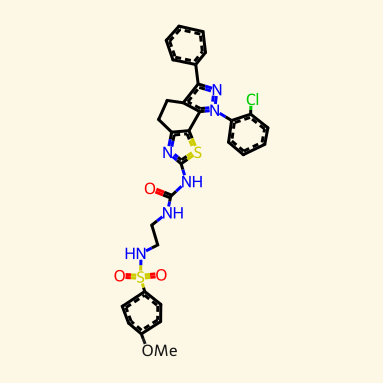 COc1ccc(S(=O)(=O)NCCNC(=O)Nc2nc3c(s2)-c2c(c(-c4ccccc4)nn2-c2ccccc2Cl)CC3)cc1